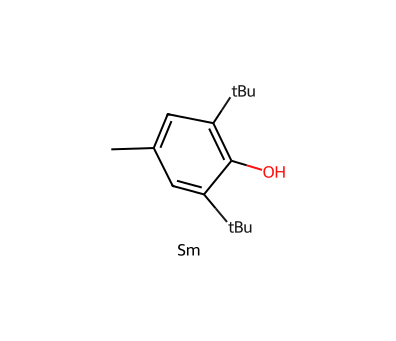 Cc1cc(C(C)(C)C)c(O)c(C(C)(C)C)c1.[Sm]